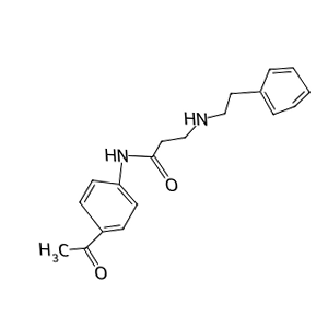 CC(=O)c1ccc(NC(=O)CCNCCc2ccccc2)cc1